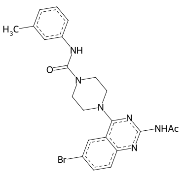 CC(=O)Nc1nc(N2CCN(C(=O)Nc3cccc(C)c3)CC2)c2cc(Br)ccc2n1